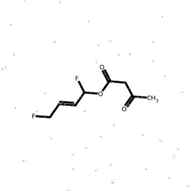 CC(=O)CC(=O)OC(F)C=CCF